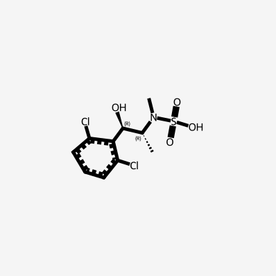 C[C@H]([C@H](O)c1c(Cl)cccc1Cl)N(C)S(=O)(=O)O